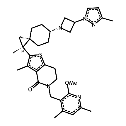 COc1nc(C)cc(C)c1CN1CCc2sc([C@@]3(C)C[C@]34CC[C@@H](N3CC(n5ccc(C)n5)C3)CC4)c(C)c2C1=O